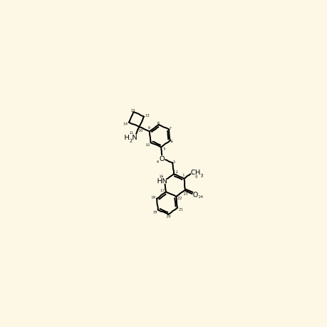 Cc1c(COc2cccc(C3(N)CCC3)c2)[nH]c2ccccc2c1=O